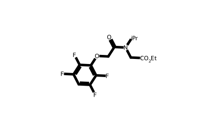 CCOC(=O)CN(C(=O)COc1c(F)c(F)cc(F)c1F)C(C)C